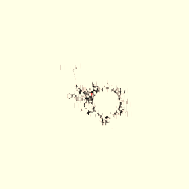 CCC(C)CCCCCCC(=O)NC(Cc1c[nH]c2ccccc12)C(=O)NC(CC(N)=O)C(=O)NC(CC(=O)O)C(=O)NC1C(=O)NCC(=O)NC(C)C(=O)NC(CC(=O)O)C(=O)NC(C)C(=O)NC(CC(=O)O)C(=O)NCC(=O)NC(CC(N)=O)C(=O)NC(CCC(=O)O)C(=O)NC(C(C)CC)C(=O)OC1C